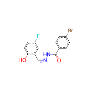 O=C(N/N=C\c1cc(F)ccc1O)c1ccc(Br)cc1